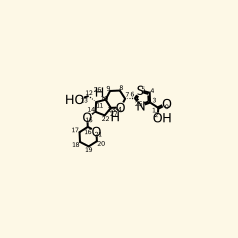 O=C(O)c1csc([C@H]2CC[C@@H]3[C@@H](CO)[C@H](OC4CCCCO4)C[C@@H]3O2)n1